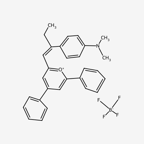 CCC(=Cc1cc(-c2ccccc2)cc(-c2ccccc2)[o+]1)c1ccc(N(C)C)cc1.F[B-](F)(F)F